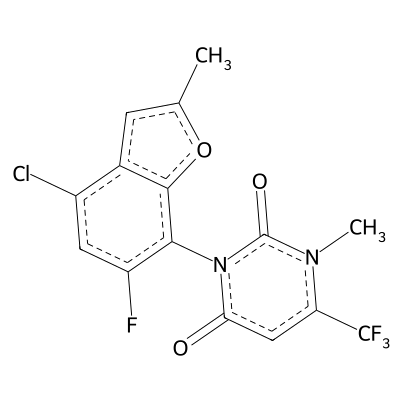 Cc1cc2c(Cl)cc(F)c(-n3c(=O)cc(C(F)(F)F)n(C)c3=O)c2o1